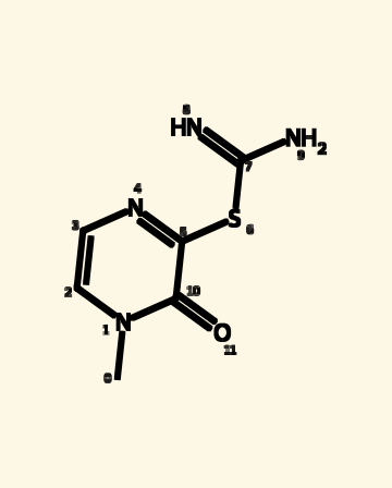 Cn1ccnc(SC(=N)N)c1=O